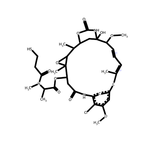 COc1cc2cc(c1Cl)NC(=O)CC(OC(=O)C(C)N(C)C(=O)CCS)C1(C)OC1C(C)C1CC(O)(NC(=O)O1)C(OC)/C=C/C=C(\C)C2